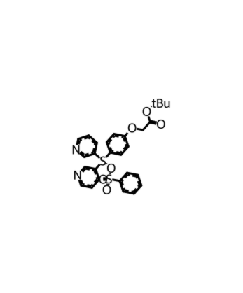 CC(C)(C)OC(=O)COc1ccc(S(OS(=O)(=O)c2ccccc2)(c2cccnc2)c2cccnc2)cc1